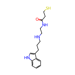 O=C(CCS)NCCNCCCc1c[nH]c2ccccc12